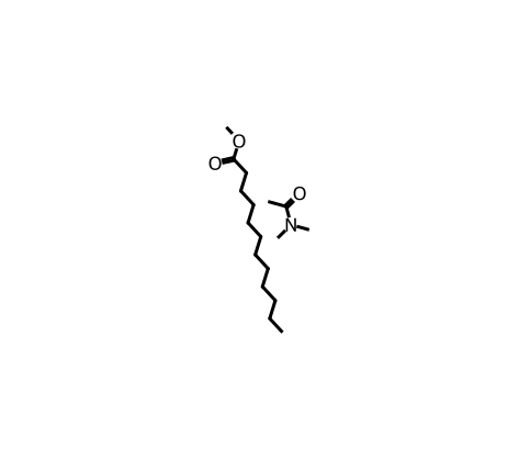 CC(=O)N(C)C.CCCCCCCCCCCC(=O)OC